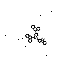 C[Si]1(C)c2ccccc2-c2ccc(-n3cc(-c4cc5ccccc5c5ccccc45)c4cc(-c5cc6ccccc6c6ccccc56)ccc43)cc21